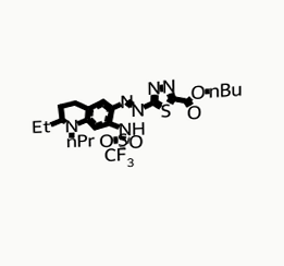 CCCCOC(=O)c1nnc(N=Nc2cc3c(cc2NS(=O)(=O)C(F)(F)F)N(CCC)C(CC)CC3)s1